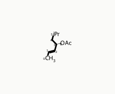 C/C=C/[C@H](CC(C)C)OC(C)=O